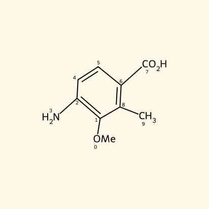 COc1c(N)ccc(C(=O)O)c1C